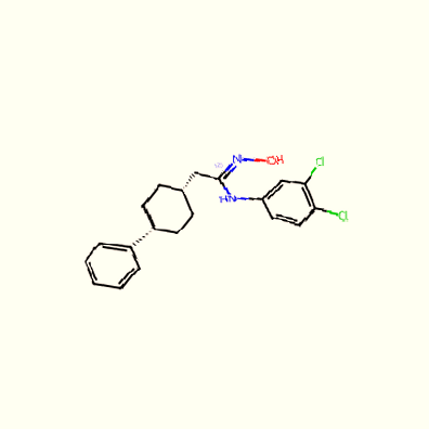 O/N=C(/C[C@H]1CC[C@@H](c2ccccc2)CC1)Nc1ccc(Cl)c(Cl)c1